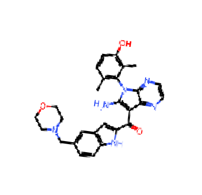 Cc1ccc(O)c(C)c1-n1c(N)c(C(=O)c2cc3cc(CN4CCOCC4)ccc3[nH]2)c2nccnc21